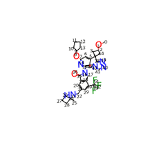 COC1CC(c2cc(OC3CCCC3)nc(N3Cc4c(cc(CNC5(C)CCC5)cc4C(F)(F)F)C3=O)c2)(c2nncn2C)C1